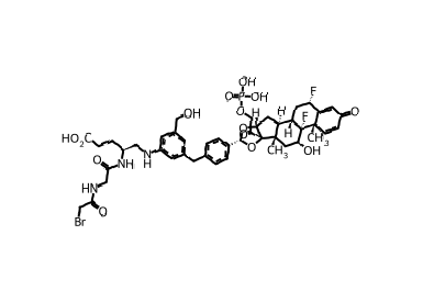 C[C@]12C=CC(=O)C=C1[C@@H](F)C[C@H]1[C@@H]3C[C@H]4O[C@@H](c5ccc(Cc6cc(CO)cc(NC[C@H](CCC(=O)O)NC(=O)CNC(=O)CBr)c6)cc5)O[C@@]4(C(=O)COP(=O)(O)O)[C@@]3(C)C[C@H](O)[C@@]12F